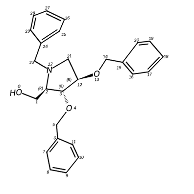 OC[C@@H]1[C@@H](OCc2ccccc2)[C@H](OCc2ccccc2)CN1Cc1ccccc1